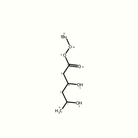 CC(O)CC(O)CC(=O)OOC(C)(C)C